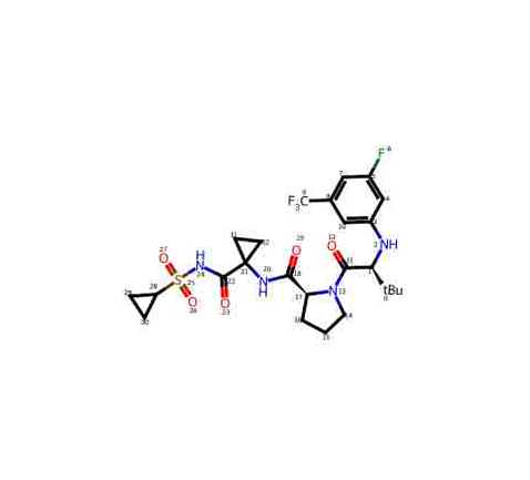 CC(C)(C)[C@H](Nc1cc(F)cc(C(F)(F)F)c1)C(=O)N1CCC[C@H]1C(=O)NC1(C(=O)NS(=O)(=O)C2CC2)CC1